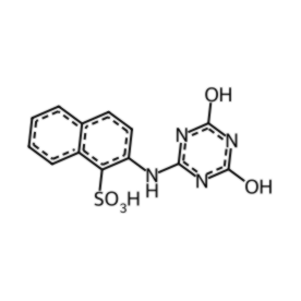 O=S(=O)(O)c1c(Nc2nc(O)nc(O)n2)ccc2ccccc12